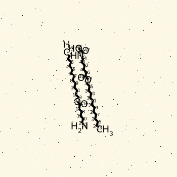 CCCCCCCCCCCCCCOC(=O)CCCCCN.CCCCCCCCCCCCCCOC(=O)CCCCCNC(=O)O